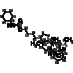 CC[C@H]1C[C@@]2(N)C3CCC(CCCCOC(=O)NC4CCCCC4)[C@@]3(C)CC[C@@H]2[C@@]2(C)CCCC[C@@H]12